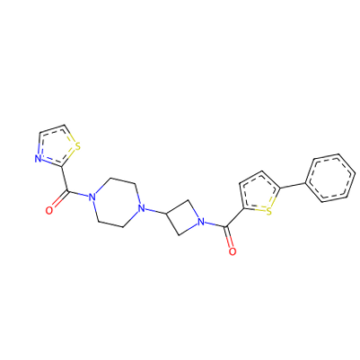 O=C(c1ccc(-c2ccccc2)s1)N1CC(N2CCN(C(=O)c3nccs3)CC2)C1